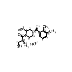 CCCCC1CN(C(=O)c2cccc(C)c2C)CCN1C(=O)C(N)CS.Cl